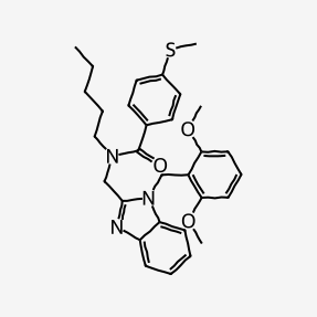 CCCCCN(Cc1nc2ccccc2n1Cc1c(OC)cccc1OC)C(=O)c1ccc(SC)cc1